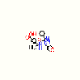 CC(NC(=O)c1c(-c2ccccc2)nnn1CC1CCOCC1)c1ccc(C(=O)O)cc1